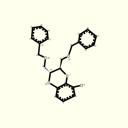 Clc1cccc2c1O[C@H](COCc1ccccc1)[C@@H](COCc1ccccc1)O2